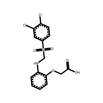 O=C(O)COc1ccccc1NCS(=O)(=O)c1ccc(Cl)c(Cl)c1